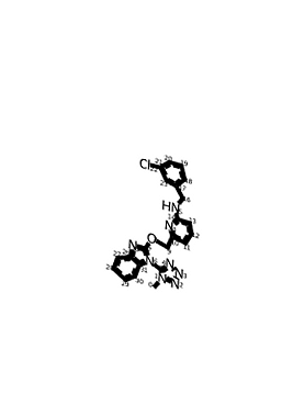 Cn1nnnc1-n1c(OCc2cccc(NCc3cccc(Cl)c3)n2)nc2ccccc21